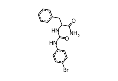 NC(=O)C(Cc1ccccc1)NC(=O)Nc1ccc(Br)cc1